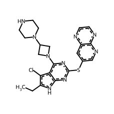 CCc1[nH]c2nc(Sc3cnc4nccnc4c3)nc(N3CC(N4CCNCC4)C3)c2c1Cl